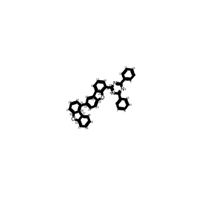 c1ccc(-c2nc(-c3ccccc3)nc(-c3cccc4c3oc3ccc(-c5cccc6oc7ccccc7c56)cc34)n2)cc1